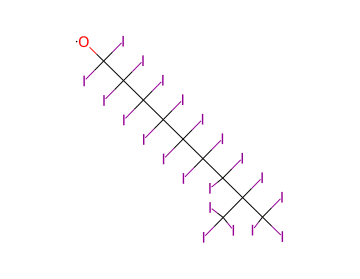 [O]C(I)(I)C(I)(I)C(I)(I)C(I)(I)C(I)(I)C(I)(I)C(I)(I)C(I)(C(I)(I)I)C(I)(I)I